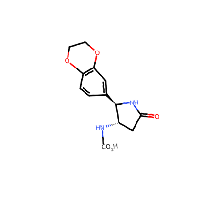 O=C(O)N[C@H]1CC(=O)N[C@@H]1c1ccc2c(c1)OCCO2